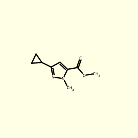 COC(=O)c1cc(C2CC2)nn1C